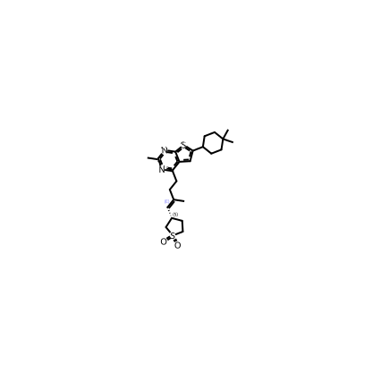 C/C(=C\[C@@H]1CCS(=O)(=O)C1)CCc1nc(C)nc2sc(C3CCC(C)(C)CC3)cc12